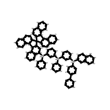 c1ccc(-c2ccc(N(c3cccc(N(c4ccccc4)c4cccc(N(c5ccccc5)c5cc6c(c7ccccc57)-c5c(ccc7ccccc57)C65c6ccc7ccccc7c6-c6c5ccc5ccccc65)c4)c3)c3ccc4ccccc4c3)cc2)cc1